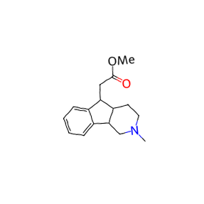 COC(=O)CC1c2ccccc2C2CN(C)CCC12